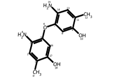 Cc1cc(N)c(Oc2cc(O)c(C)cc2N)cc1O